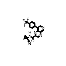 N#CC1(NC(=O)c2cnc3cncc(-c4ccc(C(F)(F)F)cc4)c3n2)C=C1